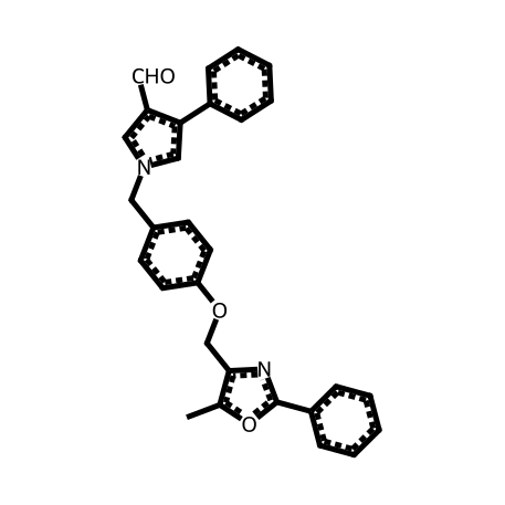 Cc1oc(-c2ccccc2)nc1COc1ccc(Cn2cc(C=O)c(-c3ccccc3)c2)cc1